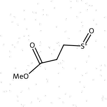 COC(=O)CC[S+]=O